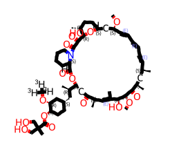 [3H]C([3H])([3H])O[C@@H]1C[C@H](C[C@@H](C)[C@@H]2CC(=O)[C@H](C)/C=C(\C)[C@@H](O)[C@@H](OC)C(=O)[C@H](C)C[C@H](C)/C=C/C=C/C=C/[C@@H](OC)C[C@@H]3CC[C@@H](C)[C@@](O)(O3)C(=O)C(=O)N3CCCC[C@H]3C(=O)O2)CC[C@H]1OC(=O)C(C)(CO)CO